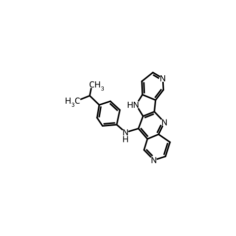 CC(C)c1ccc(Nc2c3cnccc3nc3c2[nH]c2ccncc23)cc1